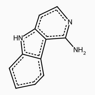 Nc1nccc2[nH]c3ccccc3c12